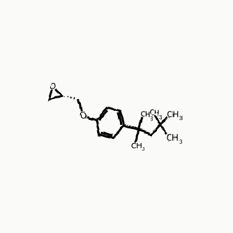 CC(C)(C)CC(C)(C)c1ccc(OC[C@@H]2CO2)cc1